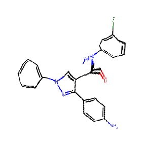 Nc1ccc(-c2nn(-c3ccccc3)cc2C(=O)Nc2cccc(F)c2)cc1